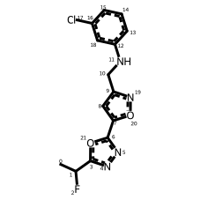 CC(F)c1nnc(-c2cc(CNc3cccc(Cl)c3)no2)o1